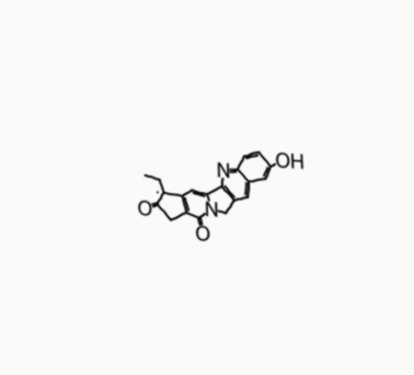 CC[C]1C(=O)Cc2c1cc1n(c2=O)Cc2cc3cc(O)ccc3nc2-1